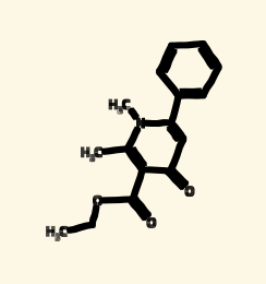 CCOC(=O)c1c(C)n(C)c(-c2ccccc2)cc1=O